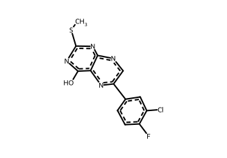 CSc1nc(O)c2nc(-c3ccc(F)c(Cl)c3)cnc2n1